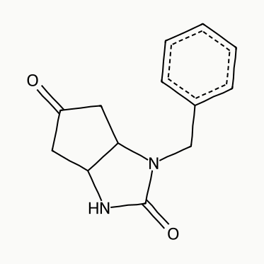 O=C1CC2NC(=O)N(Cc3ccccc3)C2C1